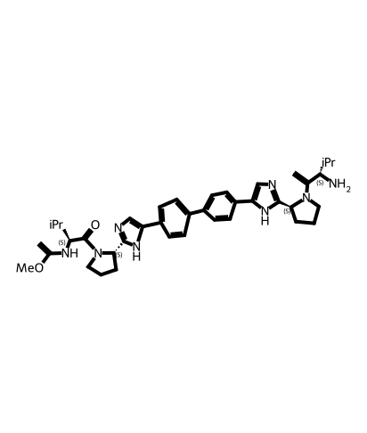 C=C(N[C@H](C(=O)N1CCC[C@H]1c1ncc(-c2ccc(-c3ccc(-c4cnc([C@@H]5CCCN5C(=C)[C@@H](N)C(C)C)[nH]4)cc3)cc2)[nH]1)C(C)C)OC